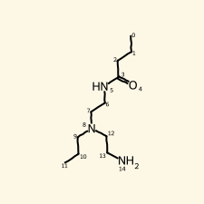 CCCC(=O)NCCN(CCC)CCN